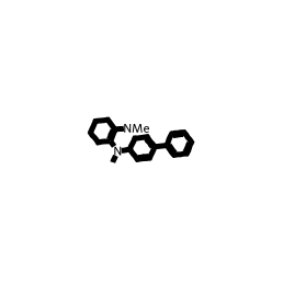 CNC1=C(N(C)C2C=CC(c3ccccc3)=CC2)CCCC1